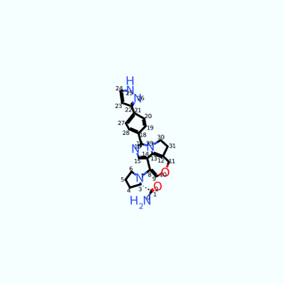 NC(=O)[C@@H]1CCCN1C1=COCC2=C3C1=CN=C(c1ccc(-c4cc[nH]n4)cc1)N3CC2